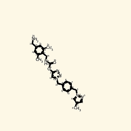 Cc1cnn(Cc2ccc(Cn3cc(OC(=O)NCc4c(C)cc(CN)cc4C)nn3)cc2)c1